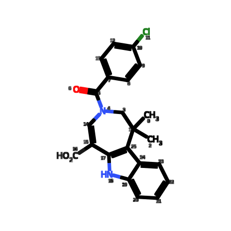 CC1(C)CN(C(=O)c2ccc(Cl)cc2)C=C(C(=O)O)c2[nH]c3ccccc3c21